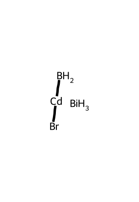 [BH2][Cd][Br].[BiH3]